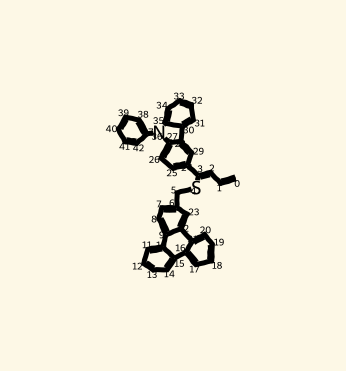 C=C/C=C(\SCc1ccc2c3ccccc3c3ccccc3c2c1)c1ccc2c(c1)c1ccccc1n2-c1ccccc1